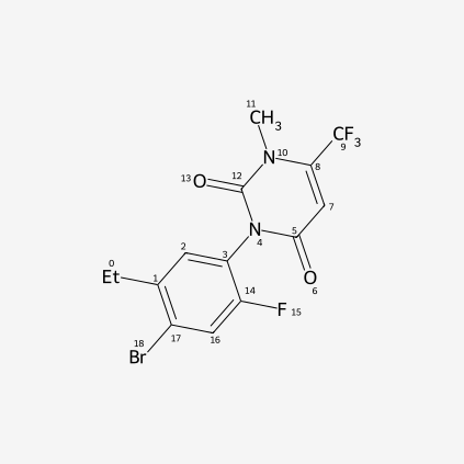 CCc1cc(-n2c(=O)cc(C(F)(F)F)n(C)c2=O)c(F)cc1Br